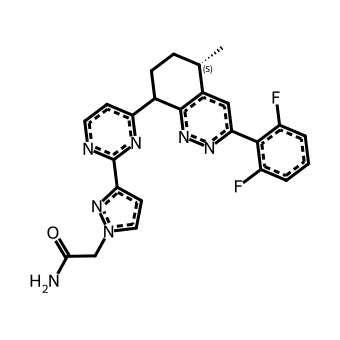 C[C@H]1CCC(c2ccnc(-c3ccn(CC(N)=O)n3)n2)c2nnc(-c3c(F)cccc3F)cc21